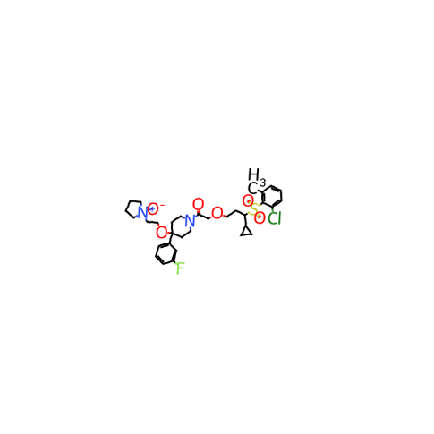 Cc1cccc(Cl)c1S(=O)(=O)C(CCOCC(=O)N1CCC(OCC[N+]2([O-])CCCC2)(c2cccc(F)c2)CC1)C1CC1